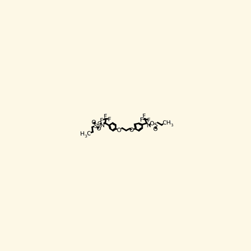 CCCS(=O)O/N=C(/c1ccc(OCCCOc2ccc(/C(=N/OS(=O)(=O)CCC)C(F)(F)F)cc2)cc1)C(F)(F)F